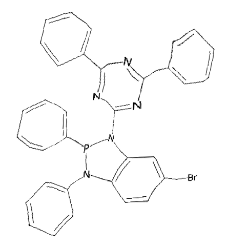 Brc1ccc2c(c1)N(c1nc(-c3ccccc3)nc(-c3ccccc3)n1)P(c1ccccc1)N2c1ccccc1